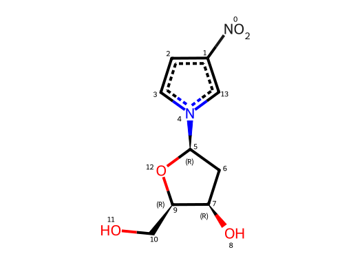 O=[N+]([O-])c1ccn([C@H]2C[C@@H](O)[C@@H](CO)O2)c1